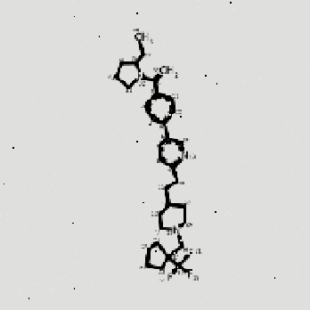 C=C(c1ccc(-c2ccc(CCC3CCN(CC4(C(F)(F)F)CCCC4)CC3)nc2)cc1)N1CCCC1CC